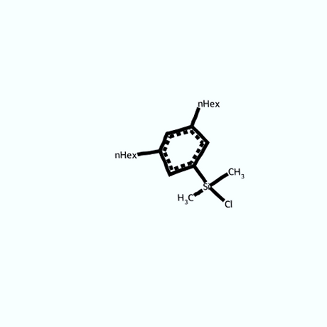 CCCCCCc1cc(CCCCCC)cc([Si](C)(C)Cl)c1